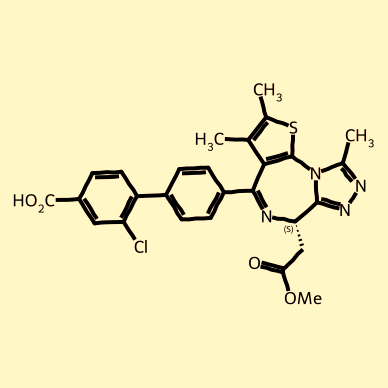 COC(=O)C[C@@H]1N=C(c2ccc(-c3ccc(C(=O)O)cc3Cl)cc2)c2c(sc(C)c2C)-n2c(C)nnc21